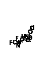 CCC(NC(=O)c1ccc(Cl)cc1)[C@@H]1C[C@H](n2cnc3cc(F)cc(F)c32)C[C@@H]1C